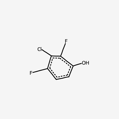 Oc1ccc(F)c(Cl)c1F